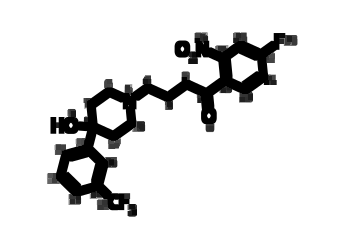 O=C(CCCN1CCC(O)(c2cccc(C(F)(F)F)c2)CC1)c1ccc(F)cc1[N+](=O)[O-]